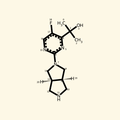 CC(C)(O)c1nc(N2C[C@H]3CNC[C@H]3C2)ncc1F